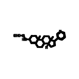 CC12CCC(NOC=O)C=C1CCC1C2CCC2(C)C(c3cccnc3)=CC[C@@H]12